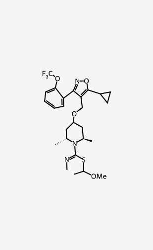 C/N=C(\SC(C)OC)N1[C@H](C)CC(OCc2c(-c3ccccc3OC(F)(F)F)noc2C2CC2)C[C@H]1C